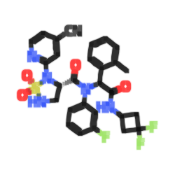 Cc1ccccc1[C@@H](C(=O)NC1CC(F)(F)C1)N(C(=O)[C@@H]1CNS(=O)(=O)N1c1cc(C#N)ccn1)c1cccc(F)c1